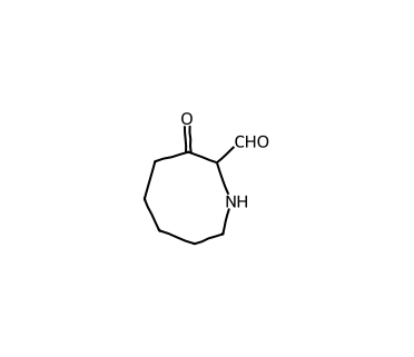 O=CC1NCCCCCC1=O